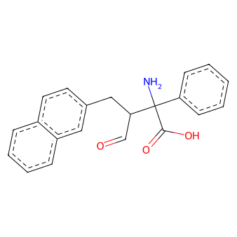 NC(C(=O)O)(c1ccccc1)C(C=O)Cc1ccc2ccccc2c1